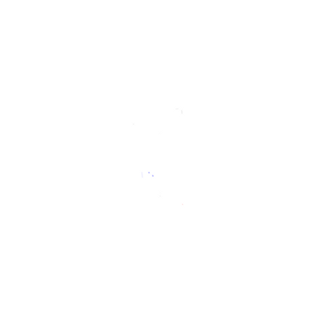 C=CC(=O)NCC(CC)CCC